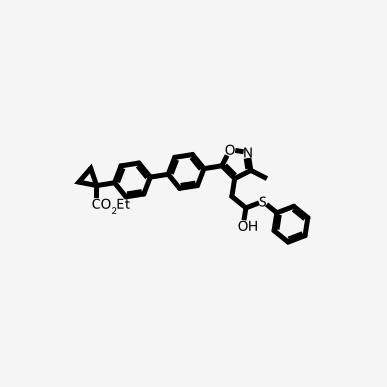 CCOC(=O)C1(c2ccc(-c3ccc(-c4onc(C)c4CC(O)Sc4ccccc4)cc3)cc2)CC1